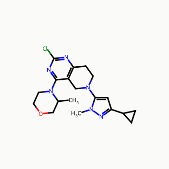 CC1COCCN1c1nc(Cl)nc2c1CN(c1cc(C3CC3)nn1C)CC2